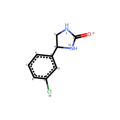 O=C1NCC(c2cccc(Cl)c2)N1